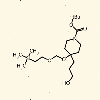 CC(C)(C)OC(=O)N1CCC(CCCO)(OCOCC[Si](C)(C)C)CC1